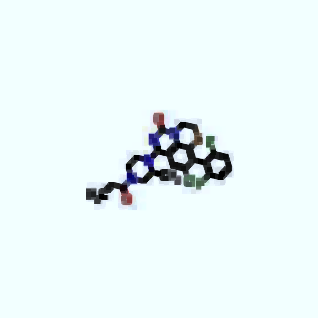 C=CC(=O)N1CCN(c2nc(=O)n3c4c(c(-c5c(F)cccc5F)c(Cl)cc24)SCC3)[C@@H](C)C1